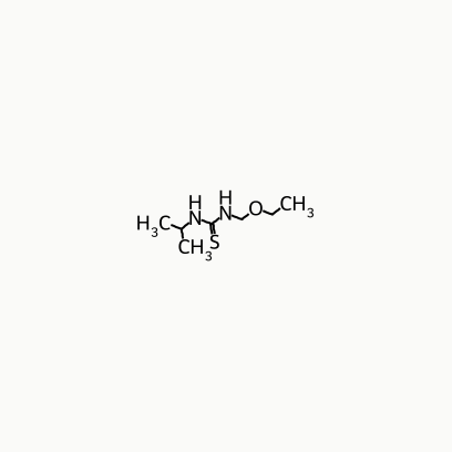 CCOCNC(=S)NC(C)C